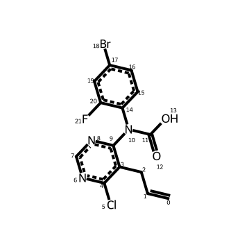 C=CCc1c(Cl)ncnc1N(C(=O)O)c1ccc(Br)cc1F